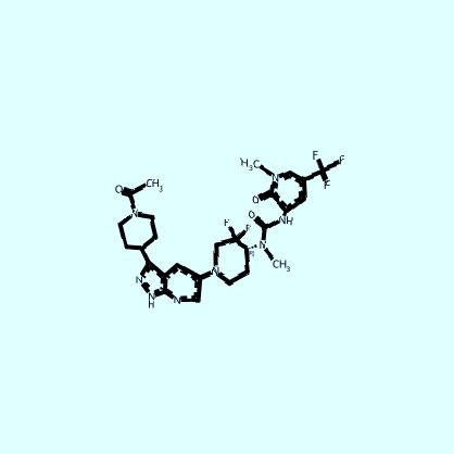 CC(=O)N1CCC(c2n[nH]c3ncc(N4CC[C@@H](N(C)C(=O)Nc5cc(C(F)(F)F)cn(C)c5=O)C(F)(F)C4)cc23)CC1